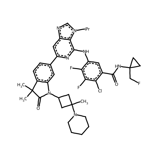 CC(C)n1cnc2cc(-c3ccc4c(c3)N(C3CC(C)(N5CCCCC5)C3)C(=O)C4(C)C)nc(Nc3cc(C(=O)NC4(CF)CC4)c(Cl)c(F)c3F)c21